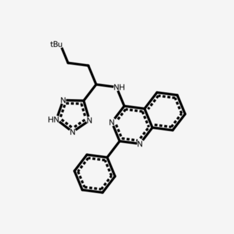 CC(C)(C)CCC(Nc1nc(-c2ccccc2)nc2ccccc12)c1nn[nH]n1